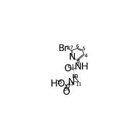 O=C(Nc1cccc(Br)n1)[C@@H]1CN1C(=O)O